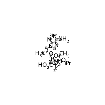 CC(C)OC(=O)[C@H](C)OP(=O)(CO[C@H](C)Cn1cnc2c(N)ncnc21)NC1(C(=O)O)CC1